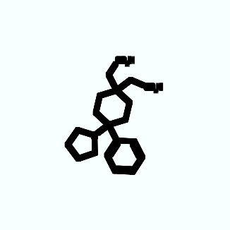 O=C(O)CC1(CC(=O)O)CCC(c2ccccc2)(N2CCCC2)CC1